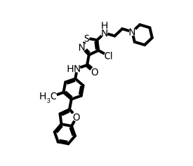 Cc1cc(NC(=O)c2nsc(NCCN3CCCCC3)c2Cl)ccc1-c1cc2ccccc2o1